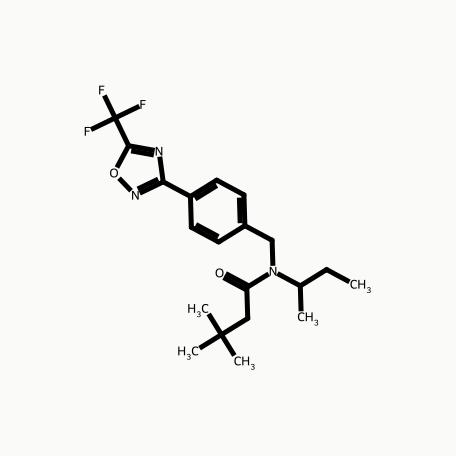 CCC(C)N(Cc1ccc(-c2noc(C(F)(F)F)n2)cc1)C(=O)CC(C)(C)C